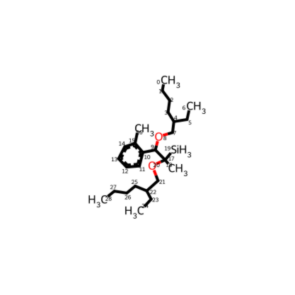 CCCCC(CC)COC(c1ccccc1C)C(C)([SiH3])OCC(CC)CCCC